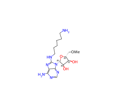 COC[C@H]1O[C@@H](n2c(NCCCCCCN)nc3c(N)ncnc32)[C@H](O)[C@@H]1O